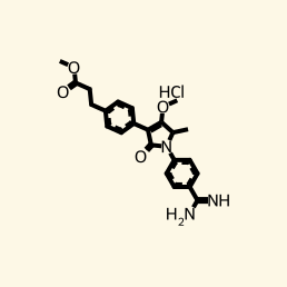 COC(=O)CCc1ccc(C2=C(OC)C(C)N(c3ccc(C(=N)N)cc3)C2=O)cc1.Cl